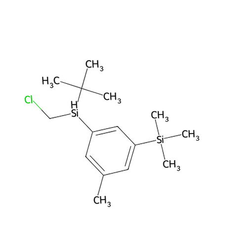 Cc1cc([SiH](CCl)C(C)(C)C)cc([Si](C)(C)C)c1